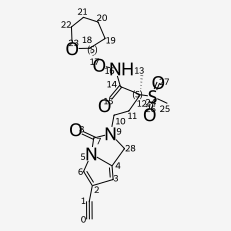 C#Cc1cc2n(c1)C(=O)N(CC[C@@](C)(C(=O)NO[C@H]1CCCCO1)S(C)(=O)=O)C2